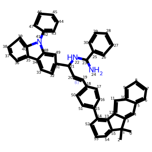 CC1(C)c2cc3ccccc3cc2-c2c(-c3ccc(/C=C/C(NC(N)c4ccccc4)c4ccc5c6ccccc6n(-c6ccccc6)c5c4)cc3)cccc21